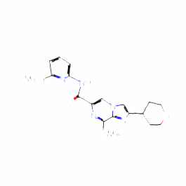 COc1cccc(NC(=O)c2cn3cc(C4CCOCC4)nc3c(OC)n2)n1